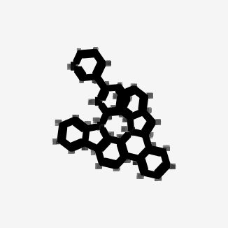 c1cncc(-c2cccc(-n3c4ccccc4c4ccc5c6ccccc6c6cc7ccccc7n6c5c43)n2)c1